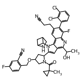 CC(O)c1nc2c(F)c(-c3cccc(Cl)c3Cl)c(CCC#N)cc2c2c1cc(C1CC(OCc3ccc(F)cc3C#N)CN1C(=O)C1(C)CC1)n2C1C2CNC1C2